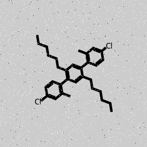 CCCCCCc1cc(-c2ccc(Cl)cc2C)c(CCCCCC)cc1-c1ccc(Cl)cc1C